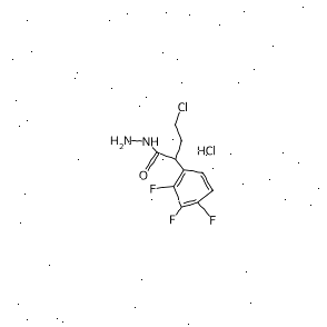 Cl.NNC(=O)C(CCCl)c1ccc(F)c(F)c1F